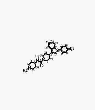 CC(=O)N1CCC(NC(=O)N2CCC(c3cn(-c4ccc(Cl)cc4)c4cnccc34)CC2)CC1